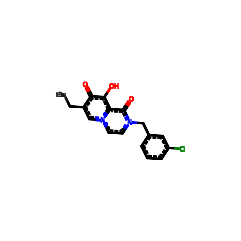 CC(C)(C)Cc1cn2ccn(Cc3cccc(Cl)c3)c(=O)c2c(O)c1=O